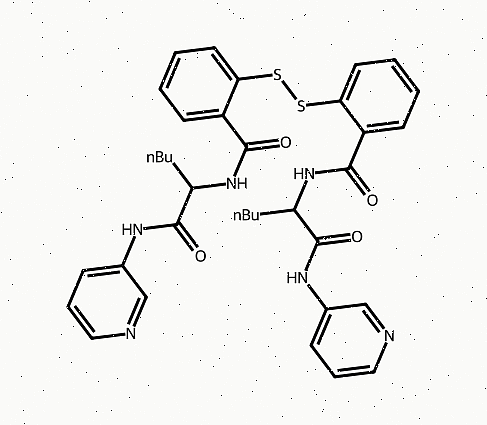 CCCCC(NC(=O)c1ccccc1SSc1ccccc1C(=O)NC(CCCC)C(=O)Nc1cccnc1)C(=O)Nc1cccnc1